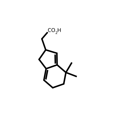 CC1(C)CCC=C2CC(CC(=O)O)C=C21